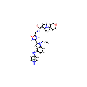 CCn1c(-c2noc(CNC(=O)c3ccn(C4(C)CCOCC4)c3)n2)cc2c(N[C@@]34CCNC(C3)[C@H]4F)cccc21